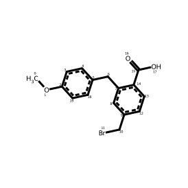 COc1ccc(Cc2cc(CBr)ccc2C(=O)O)cc1